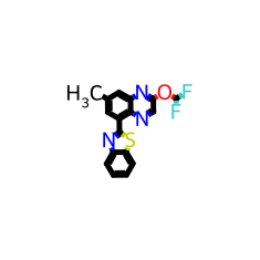 Cc1cc(-c2nc3ccccc3s2)c2ncc(OC(F)F)nc2c1